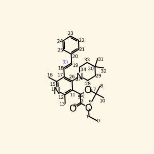 CCOC(=O)[C@@H](OC(C)(C)C)c1c(C)nc(C)c(/C=C/c2ccccc2)c1N1CCC(C)(C)CC1